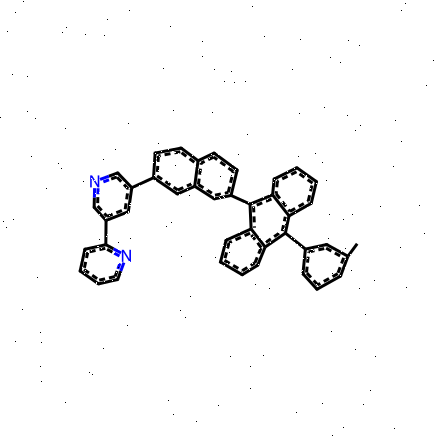 Cc1cccc(-c2c3ccccc3c(-c3ccc4ccc(-c5cncc(-c6ccccn6)c5)cc4c3)c3ccccc23)c1